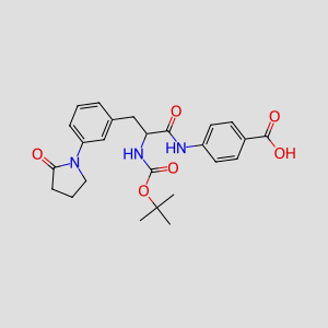 CC(C)(C)OC(=O)NC(Cc1cccc(N2CCCC2=O)c1)C(=O)Nc1ccc(C(=O)O)cc1